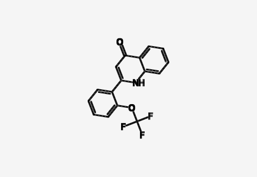 O=c1cc(-c2ccccc2OC(F)(F)F)[nH]c2ccccc12